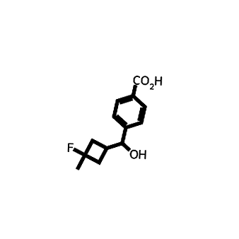 CC1(F)CC(C(O)c2ccc(C(=O)O)cc2)C1